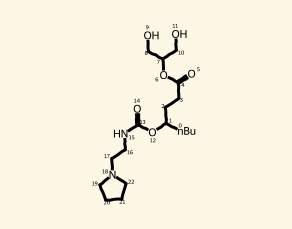 CCCCC(CCC(=O)OC(CO)CO)OC(=O)NCCN1CCCC1